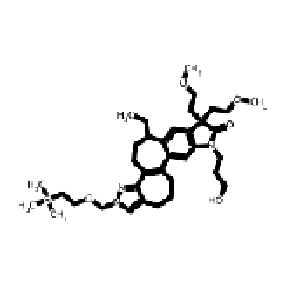 CCC1CCC2=C(CCCc3cn(COCC[Si](C)(C)C)nc32)c2cc3c(cc21)C(CCOC)(CCOC)C(=O)N3CCCO